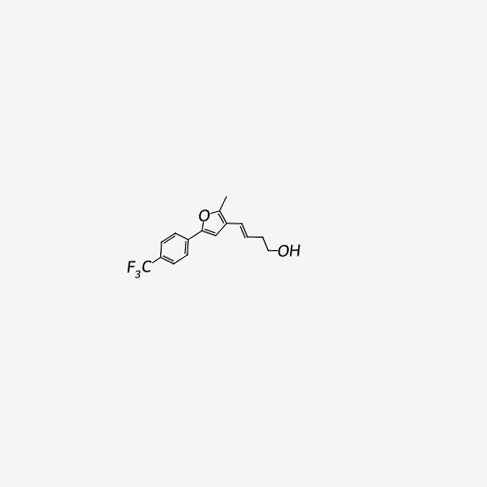 Cc1oc(-c2ccc(C(F)(F)F)cc2)cc1/C=C/CCO